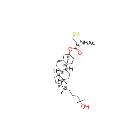 CC(=O)N[C@@H](CS)C(=O)O[C@H]1CC[C@@]2(C)C(=CC[C@H]3[C@@H]4CC[C@H]([C@H](C)CCCC(C)(C)O)[C@@]4(C)CC[C@@H]32)C1